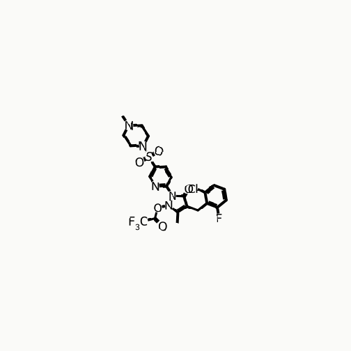 Cc1c(Cc2c(F)cccc2Cl)c(=O)n(-c2ccc(S(=O)(=O)N3CCN(C)CC3)cn2)n1OC(=O)C(F)(F)F